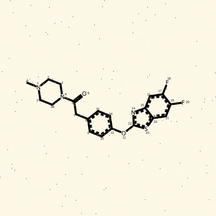 CN1CCN(C(=O)Cc2ccc(Oc3nc4cc(F)c(F)cc4s3)cc2)CC1